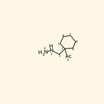 CC(=O)C1(CNN)CCCCC1